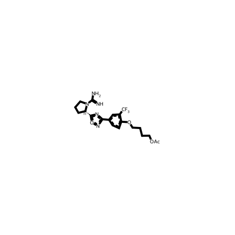 CC(=O)OCCCCOc1ccc(-c2noc([C@@H]3CCCN3C(=N)N)n2)cc1C(F)(F)F